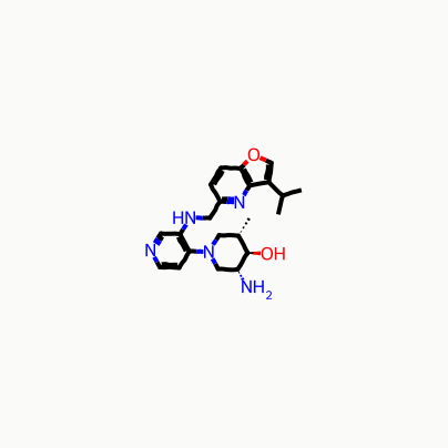 CC(C)c1coc2ccc(CNc3cnccc3N3C[C@@H](N)[C@H](O)[C@@H](C)C3)nc12